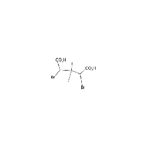 CC(C)(C(Br)C(=O)O)C(Br)C(=O)O